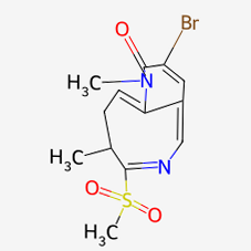 CC1C/C=c2/c(cc(Br)c(=O)n2C)=C\N=C/1S(C)(=O)=O